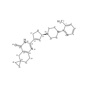 Cc1cccnc1N1CCN([C@H]2C=C(c3nc4c(c(=O)[nH]3)CC3(CC4)CC3)CC2)CC1